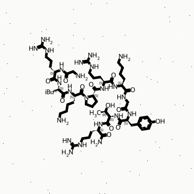 CC[C@H](C)[C@H](NC(=O)[C@H](CCCNC(=N)N)NC(=O)CN)C(=O)N[C@@H](CCCCN)C(=O)N1CCC[C@H]1C(=O)N[C@@H](CCCNC(=N)N)C(=O)N[C@@H](CCCCN)C(=O)NCC(=O)N[C@@H](Cc1ccc(O)cc1)C(=O)N[C@H](C(=O)N[C@@H](CCCNC(=N)N)C(N)=O)[C@@H](C)O